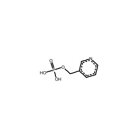 O=P(O)(O)OCc1[c]nccc1